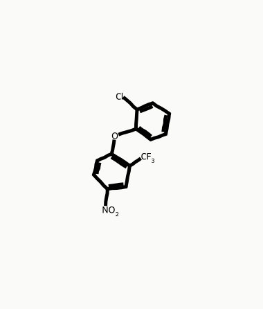 O=[N+]([O-])c1ccc(Oc2ccccc2Cl)c(C(F)(F)F)c1